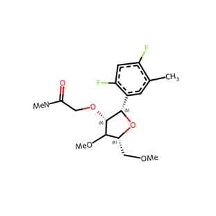 CNC(=O)CO[C@H]1C(OC)[C@@H](COC)O[C@H]1c1cc(C)c(F)cc1F